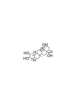 C[C@@H]1CC[C@]2(C(=O)O)CC[C@]3(C)C(=CC[C@@H]4[C@@]5(C)CC(O)C(O)C(C)(C)[C@@H]5CC[C@]43C)[C@@H]2[C@]1(C)O